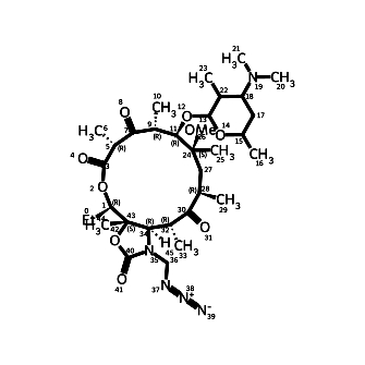 CC[C@H]1OC(=O)[C@H](C)C(=O)[C@H](C)[C@@H](OC2OC(C)CC(N(C)C)C2C)[C@@](C)(OC)C[C@@H](C)C(=O)[C@H](C)[C@H]2N(CN=[N+]=[N-])C(=O)O[C@]12C